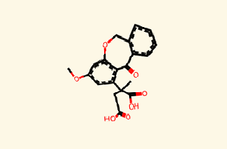 COc1cc2c(c(C(C)(CC(=O)O)C(=O)O)c1)C(=O)c1ccccc1CO2